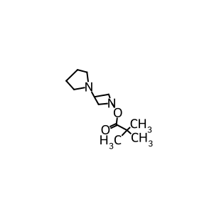 CC(C)(C)C(=O)ON1CC(N2CCCC2)C1